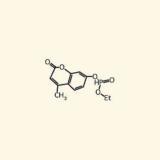 CCO[PH](=O)Oc1ccc2c(C)cc(=O)oc2c1